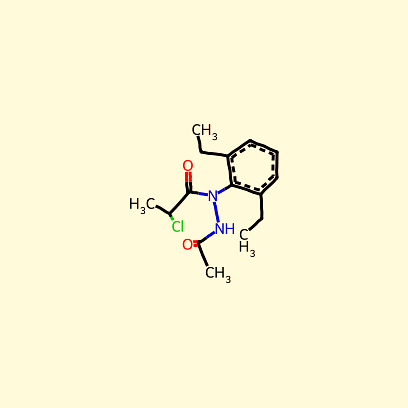 CCc1cccc(CC)c1N(NC(C)=O)C(=O)C(C)Cl